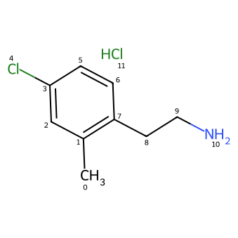 Cc1cc(Cl)ccc1CCN.Cl